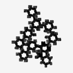 C[Si]1(C)c2ccccc2-c2nc(-c3cccc(-c4cccc(-c5cc(-c6ccccc6)cc(-c6ccc(-c7ccccc7)cc6)c5)c4)c3)nc(-c3cccc(-c4ccccc4)c3)c21